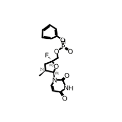 C[C@H]1C[C@@](F)(CO[PH](=O)Oc2ccccc2)O[C@H]1n1ccc(=O)[nH]c1=O